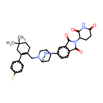 CC1(C)CCC(CN2CC3CCC2CN3c2ccc3c(c2)C(=O)N(C2CCC(=O)NC2=O)C3=O)=C(c2ccc(F)cc2)C1